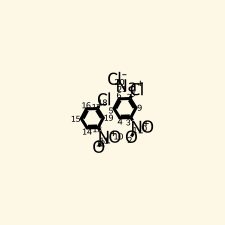 O=[N+]([O-])c1cccc(Cl)c1.O=[N+]([O-])c1cccc(Cl)c1.[Cl-].[Na+]